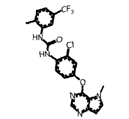 Cc1ccc(C(F)(F)F)cc1NC(=O)Nc1ccc(Oc2ncnc3ccn(C)c23)cc1Cl